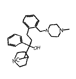 CN1CCN(Cc2ccccc2CCC(O)(c2ccccc2)C2CN3CCC2CC3)CC1